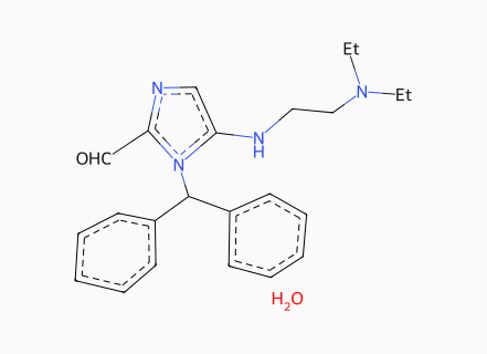 CCN(CC)CCNc1cnc(C=O)n1C(c1ccccc1)c1ccccc1.O